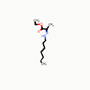 CCCCCCCNN=C(C)C(=O)OCC